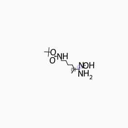 C[C@@H](CCCCNC(=O)OC(C)(C)C)/C(N)=N/O